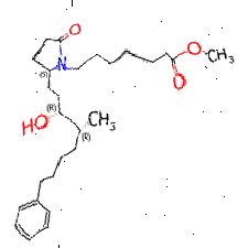 COC(=O)CCCCCCN1C(=O)CC[C@@H]1CC[C@@H](O)[C@H](C)CCCCc1ccccc1